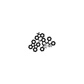 CC1(C)c2ccccc2-c2c(N(c3ccc4c(c3)C3(c5ccccc5-c5ccccc53)c3ccccc3-4)c3cccc4c3C=C(c3ccccc3)N/C4=C(\C(=N)c3ccccc3)c3ccccc3)cccc21